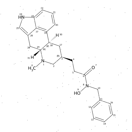 CN1C[C@H](CCC(=O)N(O)Cc2ccccc2)C[C@@H]2c3cccc4[nH]cc(c34)C[C@H]21